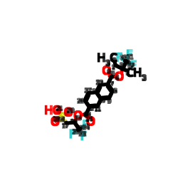 CCC(C)(OC(=O)c1ccc2cc(C(=O)OC(CS(=O)(=O)O)C(F)(F)F)ccc2c1)C(F)(F)F